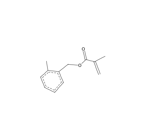 C=C(C)C(=O)OCc1ccccc1C